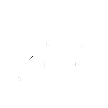 CC(C)Nc1nc(C(C)C)cc2cnc(NC(=O)[C@@H]3CCCNC3)cc12